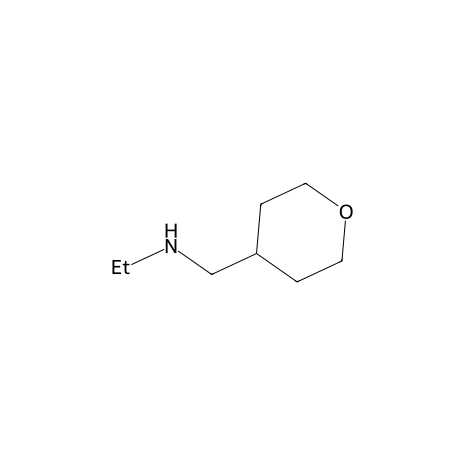 [CH2]CNCC1CCOCC1